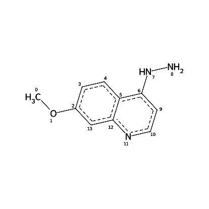 COc1ccc2c(NN)ccnc2c1